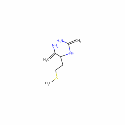 C=C(N)NC(CCSC)C(=C)N